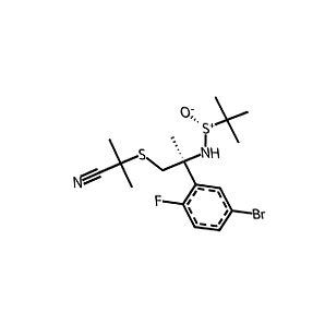 CC(C)(C#N)SC[C@@](C)(N[S@+]([O-])C(C)(C)C)c1cc(Br)ccc1F